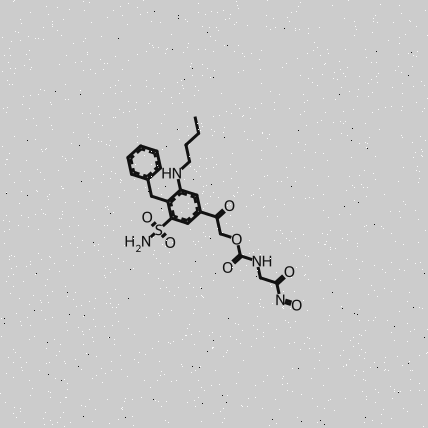 CCCCNc1cc(C(=O)COC(=O)NCC(=O)N=O)cc(S(N)(=O)=O)c1Cc1ccccc1